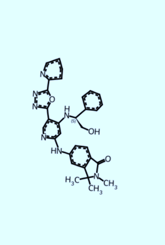 CN1C(=O)c2ccc(Nc3cc(N[C@H](CO)c4ccccc4)c(-c4nnc(-c5ccccn5)o4)cn3)cc2C1(C)C